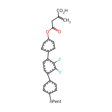 C=C(CC(=O)Oc1ccc(-c2ccc(-c3ccc(CCCCC)cc3)c(F)c2F)cc1)C(=O)O